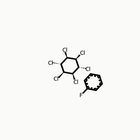 Cl[C@H]1[C@H](Cl)[C@@H](Cl)[C@@H](Cl)[C@H](Cl)[C@H]1Cl.Fc1ccccc1